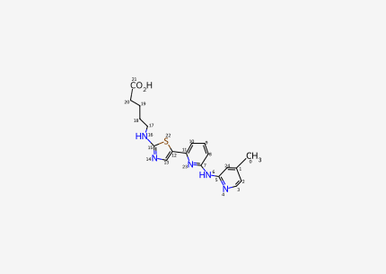 Cc1ccnc(Nc2cccc(-c3cnc(NCCCCC(=O)O)s3)n2)c1